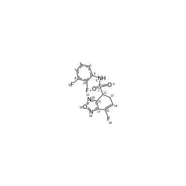 O=S(=O)(Nc1cccc(F)c1F)C1CC=C(F)c2nonc21